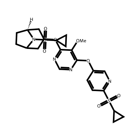 COc1c(Oc2ccc(S(=O)(=O)C3CC3)nc2)ncnc1OC1CC2CC[C@@H](C1)N2S(=O)(=O)C1CC1